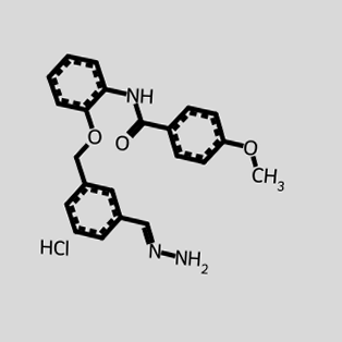 COc1ccc(C(=O)Nc2ccccc2OCc2cccc(C=NN)c2)cc1.Cl